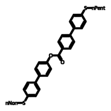 CCCCCCCCCSc1ccc(-c2ccc(OC(=O)c3ccc(-c4ccc(SCCCCC)cc4)cc3)cc2)cc1